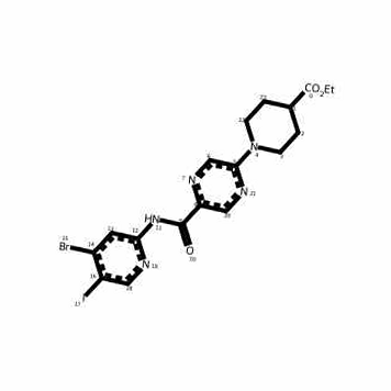 CCOC(=O)C1CCN(c2cnc(C(=O)Nc3cc(Br)c(I)cn3)cn2)CC1